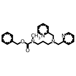 CN(CCCN(Cc1ccccn1)Cc1ccccn1)C(=O)OCc1ccccc1